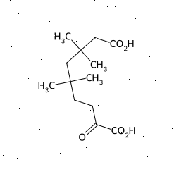 CC(C)(CCC(=O)C(=O)O)CC(C)(C)CC(=O)O